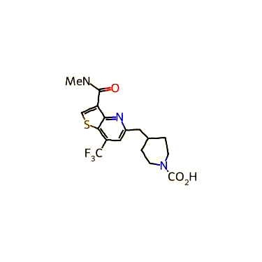 CNC(=O)c1csc2c(C(F)(F)F)cc(CC3CCN(C(=O)O)CC3)nc12